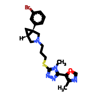 Cc1ncoc1-c1nnc(SCCCN2C[C@H]3C[C@@]3(c3cccc(Br)c3)C2)n1C